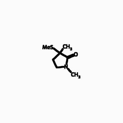 CSC1(C)CCN(C)C1=O